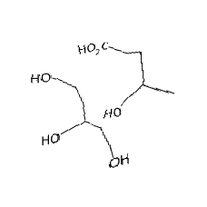 CC(O)CC(=O)O.OCC(O)CO